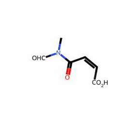 CN(C=O)C(=O)/C=C\C(=O)O